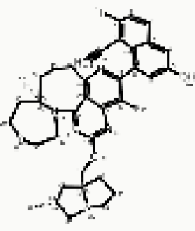 C#Cc1c(F)ccc2cc(O)cc(-c3nc4c5c(nc(OC[C@@]67CCCN6C[C@H](F)C7)nc5c3F)N3CCOCC[C@H]3CCC4)c12